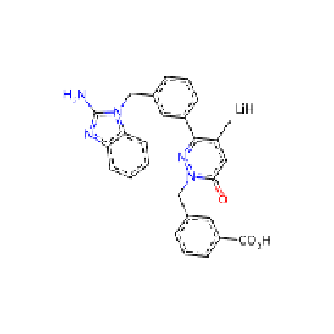 Cc1cc(=O)n(Cc2cccc(C(=O)O)c2)nc1-c1cccc(Cn2c(N)nc3ccccc32)c1.[LiH]